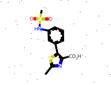 Cc1nc(C(=O)O)c(-c2cccc(NS(C)(=O)=O)c2)s1